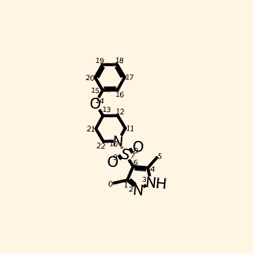 Cc1n[nH]c(C)c1S(=O)(=O)N1CCC(Oc2ccccc2)CC1